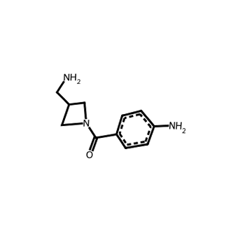 NCC1CN(C(=O)c2ccc(N)cc2)C1